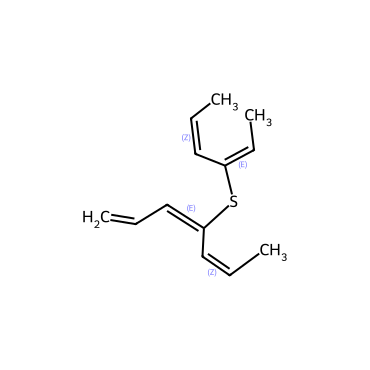 C=C/C=C(\C=C/C)SC(/C=C\C)=C/C